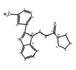 Cc1cccc(-c2nc3ccccc3n2CCC(=O)N2CCCC2)c1